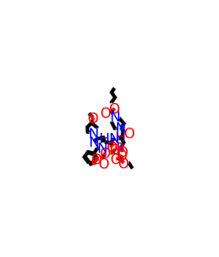 CCCCOC(=O)N1CCN(C(=O)C(C[PH](=O)OC(OC(=O)OCC)OC(=O)OCC)NC(=O)c2cc(N3CCC(OC)C3)nc(-c3ccccc3)n2)CC1